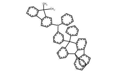 CC1(C)c2ccccc2-c2ccc(N(c3ccccc3)c3cccc(C4(c5ccccc5)c5ccccc5C5(c6ccccc6)c6ccccc6-c6cccc4c65)c3)cc21